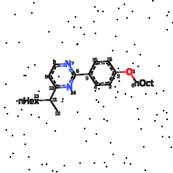 CCCCCCCCOc1ccc(-c2nccc(C(C)CCCCCC)n2)cc1